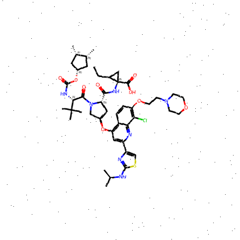 CCC1C[C@]1(NC(=O)[C@@H]1CC(Oc2cc(-c3csc(NC(C)C)n3)nc3c(Cl)c(OCCN4CCOCC4)ccc23)CN1C(=O)[C@@H](NC(=O)O[C@H]1C[C@@H](C)[C@@H](C)C1)C(C)(C)C)C(=O)O